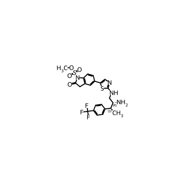 COS(=O)(=O)N1C(=O)Cc2cc(-c3cnc(NC[C@H](N)[C@@H](C)c4ccc(C(F)(F)F)cc4)s3)ccc21